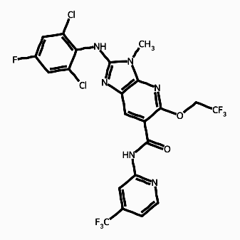 Cn1c(Nc2c(Cl)cc(F)cc2Cl)nc2cc(C(=O)Nc3cc(C(F)(F)F)ccn3)c(OCC(F)(F)F)nc21